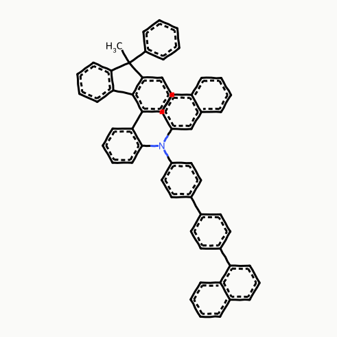 CC1(c2ccccc2)c2ccccc2-c2c(-c3ccccc3N(c3ccc(-c4ccc(-c5cccc6ccccc56)cc4)cc3)c3ccc4ccccc4c3)cccc21